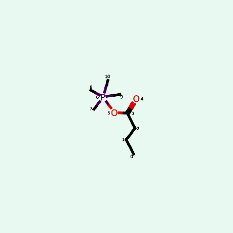 CCCC(=O)OP(C)(C)(C)C